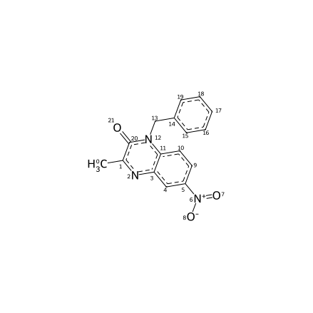 Cc1nc2cc([N+](=O)[O-])ccc2n(Cc2ccccc2)c1=O